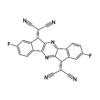 N#CC(C#N)=C1c2cc(F)ccc2-c2nc3c(nc21)-c1ccc(F)cc1C3=C(C#N)C#N